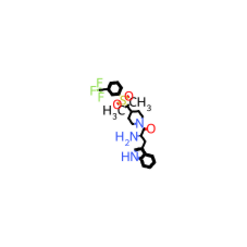 CC(C)(C1CCN(C(=O)[C@H](N)Cc2c[nH]c3ccccc23)CC1)S(=O)(=O)c1cccc(C(F)(F)F)c1